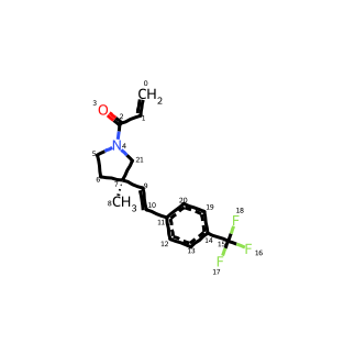 C=CC(=O)N1CC[C@](C)(/C=C/c2ccc(C(F)(F)F)cc2)C1